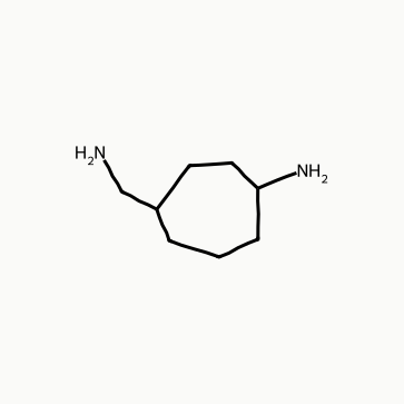 NCC1CCCC(N)CC1